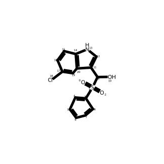 O=S(=O)(c1ccccc1)C(O)c1c[nH]c2ccc(Cl)cc12